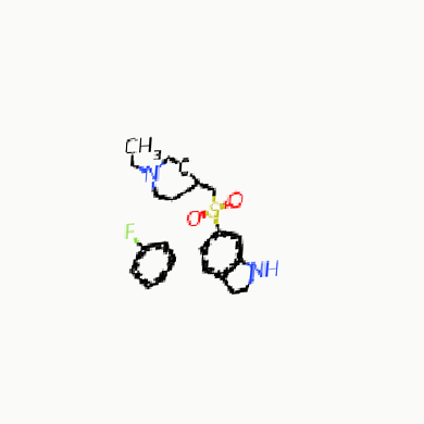 CCN1CCC(CS(=O)(=O)c2ccc3c(c2)NCC3)CC1.Fc1ccccc1